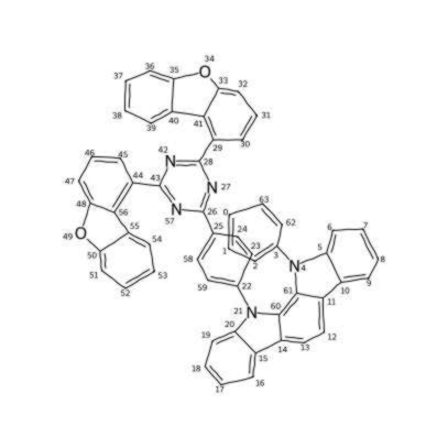 c1ccc(-n2c3ccccc3c3ccc4c5ccccc5n(-c5ccc(-c6nc(-c7cccc8oc9ccccc9c78)nc(-c7cccc8oc9ccccc9c78)n6)cc5)c4c32)cc1